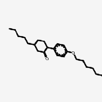 CCCCCCCOc1ccc(C2CCC(CCCCC)CC2=O)cc1